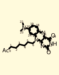 CC(=O)CCCCCCn1c2nc(=O)[nH]c(=O)c-2nc2ccc(N(C)C)cc21